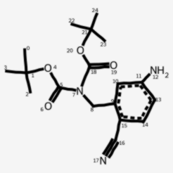 CC(C)(C)OC(=O)N(Cc1cc(N)ccc1C#N)C(=O)OC(C)(C)C